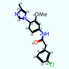 COC1=CC(NC(=O)Cc2cccc(Cl)c2)=CCC1n1cnc(C)c1